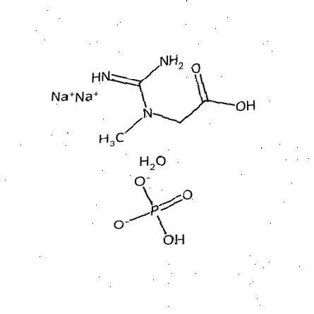 CN(CC(=O)O)C(=N)N.O.O=P([O-])([O-])O.[Na+].[Na+]